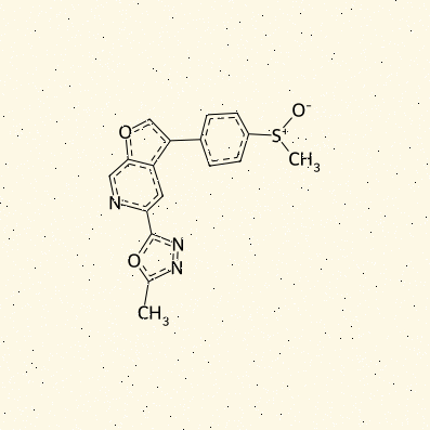 Cc1nnc(-c2cc3c(-c4ccc([S+](C)[O-])cc4)coc3cn2)o1